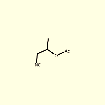 [C-]#[N+]CC(C)OC(C)=O